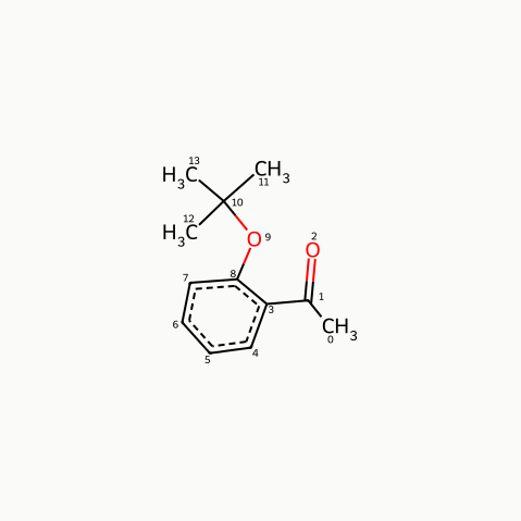 CC(=O)c1ccccc1OC(C)(C)C